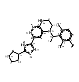 C[C@H](c1c(Cl)ccc(F)c1Cl)N1CCNc2nnc(-c3nnc(C4CCNC4)[nH]3)cc21